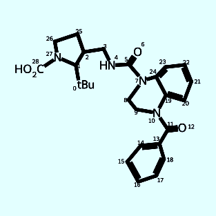 CC(C)(C)C1C(CNC(=O)N2CCN(C(=O)c3ccccc3)c3ccccc32)CCN1C(=O)O